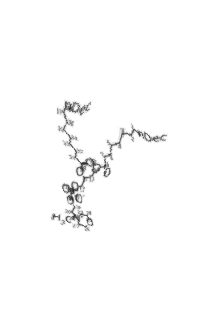 CCCCCCCCCCCCCCCCCC(=O)OCC(COP(=O)([O-])OCC[N+]1(C)CCOCC1)OC(=O)CCCCCCCCCCCCCCCCC